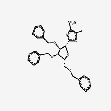 CCOC(=O)c1nc([C@@H]2O[C@H](COCc3ccccc3)[C@@H](OCc3ccccc3)[C@H]2OCc2ccccc2)sc1F